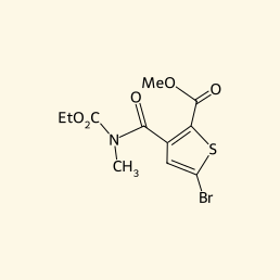 CCOC(=O)N(C)C(=O)c1cc(Br)sc1C(=O)OC